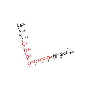 [La+3].[La+3].[Ni+2].[Ni+2].[O-2].[O-2].[O-2].[O-2].[O-2].[O-2].[O-2].[Sr+2].[Sr+2]